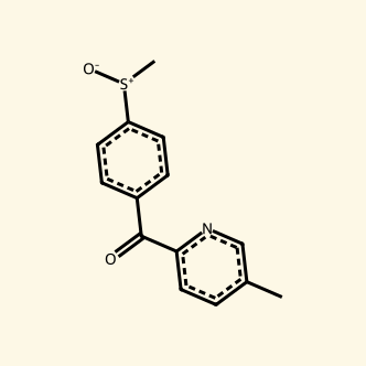 Cc1ccc(C(=O)c2ccc([S+](C)[O-])cc2)nc1